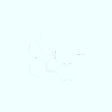 CCc1cccc2c3c([nH]c12)C(CC)(C[C]=O)OCC3